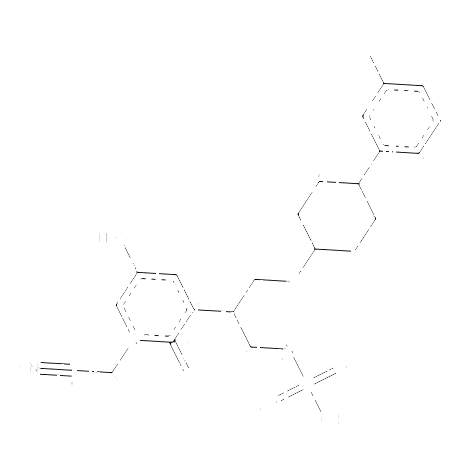 Cc1cc(C(CNS(C)(=O)=O)COC2CCC(c3cccc(F)c3)CC2)c(=O)n(CC#N)c1